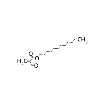 C=C(C=O)C(=O)OCCCCCCCCCCCC